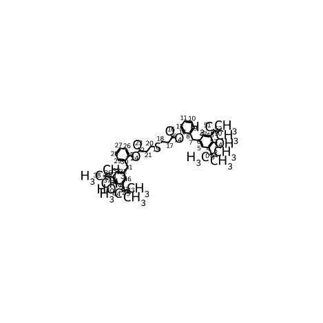 CC(C)(C)c1cc(Cc2ccccc2OC(=O)CCSCCC(=O)Oc2ccccc2Cc2cc(C(C)(C)C)c(O)c(C(C)(C)C)c2)cc(C(C)(C)C)c1O